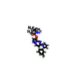 CC(C)(C)NC(=O)Oc1cnn2ccc(N3CCC[C@@H]3c3cccc(F)c3)nc12